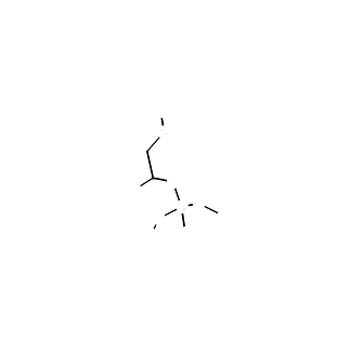 CCCCNCC(C)O[Si](C)(OCC)OCC